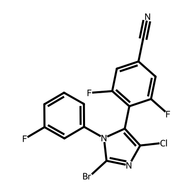 N#Cc1cc(F)c(-c2c(Cl)nc(Br)n2-c2cccc(F)c2)c(F)c1